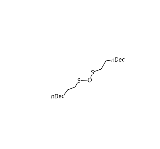 CCCCCCCCCCCCSOSCCCCCCCCCCCC